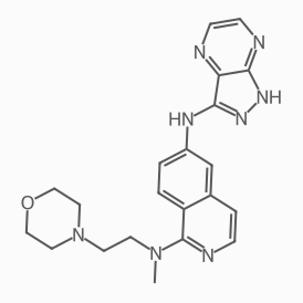 CN(CCN1CCOCC1)c1nccc2cc(Nc3n[nH]c4nccnc34)ccc12